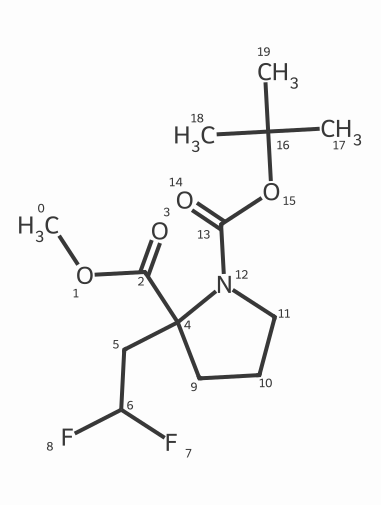 COC(=O)C1(CC(F)F)CCCN1C(=O)OC(C)(C)C